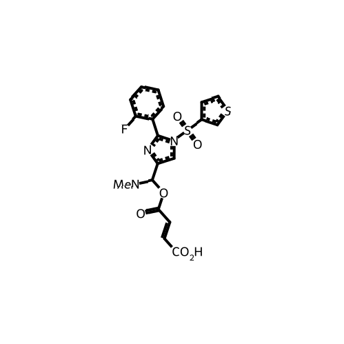 CNC(OC(=O)/C=C/C(=O)O)c1cn(S(=O)(=O)c2ccsc2)c(-c2ccccc2F)n1